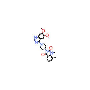 COc1cc2ncnc(N3CCC(n4c(=O)c5cccc(C)c5n(C)c4=O)CC3)c2cc1OC